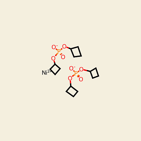 O=P([O-])(OC1CCC1)OC1CCC1.O=P([O-])(OC1CCC1)OC1CCC1.[Ni+2]